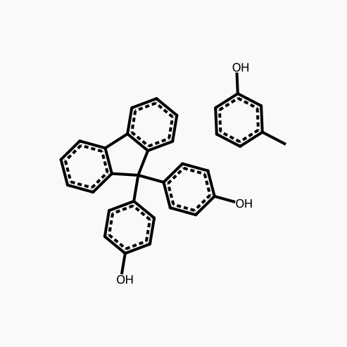 Cc1cccc(O)c1.Oc1ccc(C2(c3ccc(O)cc3)c3ccccc3-c3ccccc32)cc1